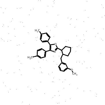 COc1cccc(CC2CCCCC2c2nc(-c3ccc(C)cc3)c(-c3ccc(C)cc3)o2)c1